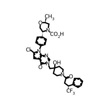 C[C@H]1CN(C(=O)O)[C@H](c2ccc(-n3c(Cl)cc4c(=O)n(CC5(O)CCN(C(=O)C[C@H](c6ccccc6)C(F)(F)F)CC5)cnc43)cc2)CO1